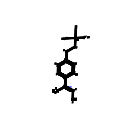 N/C(=N\O)c1cnc(OCC(F)(F)F)cn1